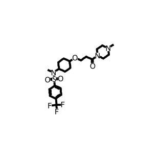 CN1CCN(C(=O)CCOC2CCC(N(C)S(=O)(=O)c3ccc(C(F)(F)F)cc3)CC2)CC1